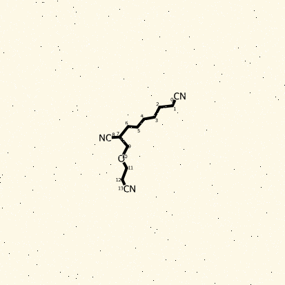 N#CCCCCCCC(C#N)COCCC#N